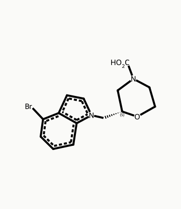 O=C(O)N1CCO[C@H](Cn2ccc3c(Br)cccc32)C1